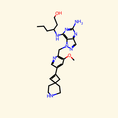 CCCC(CCO)Nc1nc(N)nc2cnn(Cc3ncc(C4=CC5(CCNCC5)C4)cc3OC)c12